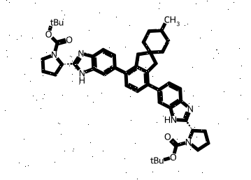 CC1CCC2(CC1)Cc1c(-c3ccc4nc([C@@H]5CCCN5C(=O)OC(C)(C)C)[nH]c4c3)ccc(-c3ccc4nc([C@@H]5CCCN5C(=O)OC(C)(C)C)[nH]c4c3)c1C2